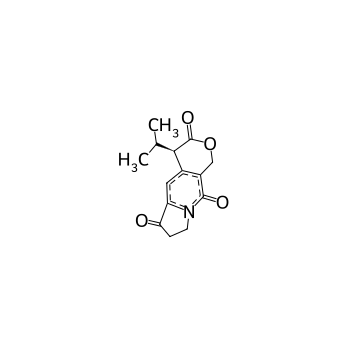 CC(C)[C@H]1C(=O)OCc2c1cc1n(c2=O)CCC1=O